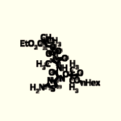 CCCCCCOC(=O)C(C)(C)O/N=C(\C(=O)N[C@@H]1C(=O)N(S(=O)(=O)OCC(C)(C)C(=O)OCC)[C@H]1C)c1csc(N)n1